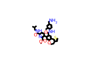 COC(=O)c1nc(C(=O)NCC(C)C)ccc1-c1cc2c(cc1C(=O)Nc1ccc(CN)cc1C)-c1sccc1CCO2